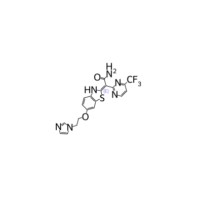 NC(=O)/C(=C1\Nc2ccc(OCCn3ccnc3)cc2S1)c1nccc(C(F)(F)F)n1